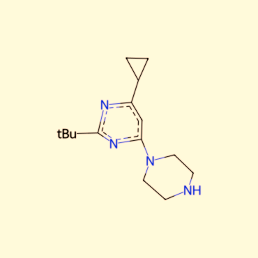 CC(C)(C)c1nc(C2CC2)cc(N2CCNCC2)n1